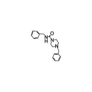 O=C(NCc1ccccc1)N1CCN(Cc2ccccc2)CC1